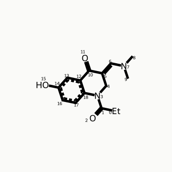 CCC(=O)N1CC(=CN(C)C)C(=O)c2cc(O)ccc21